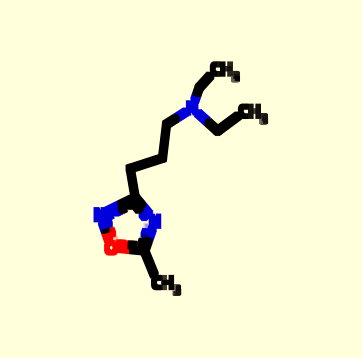 CCN(CC)CCCc1noc(C)n1